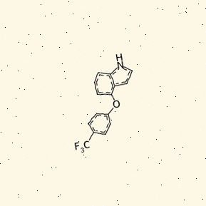 FC(F)(F)c1ccc(Oc2cccc3[nH]ccc23)cc1